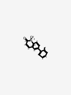 Cc1ccccc1-c1ccc2c(ccc(=O)n2C(F)(F)F)c1